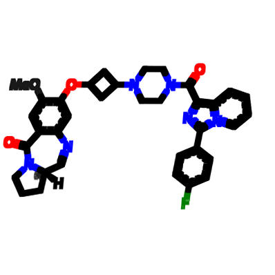 COc1cc2c(cc1OC1CC(N3CCN(C(=O)c4nc(-c5ccc(F)cc5)n5ccccc45)CC3)C1)N=C[C@@H]1CCCN1C2=O